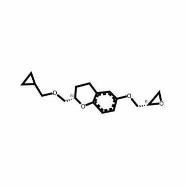 c1cc2c(cc1OC[C@@H]1CO1)CC[C@@H](COCC1CC1)O2